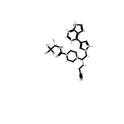 C[C@H](NC(=O)N1CCN([C@@H](CCC#N)Cn2cc(-c3ncnc4[nH]ccc34)cn2)CC1)C(F)(F)F